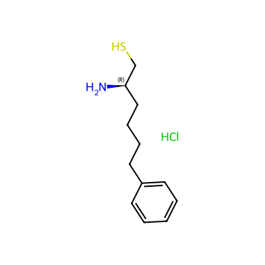 Cl.N[C@@H](CS)CCCCc1ccccc1